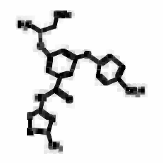 COCC(C)Oc1cc(Oc2ccc(C(=O)O)cc2)cc(C(=O)Nc2nc(C)ns2)c1